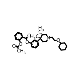 CC(=O)Oc1ccccc1C(=O)Oc1cccc([C@@]2(C)CCN(CCOC3CCCCC3)C[C@@H]2C)c1